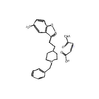 Cc1ccc2onc(CCC3CCN(Cc4ccccc4)CC3)c2c1.O=C(O)/C=C\C(=O)O